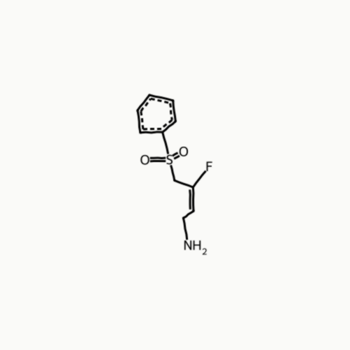 NC/C=C(/F)CS(=O)(=O)c1ccccc1